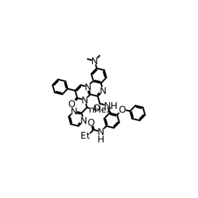 CCCCCCC(c1ncccn1)n1c(/C(=N\c2ccc(N(C)C)cc2C)C(=O)Nc2cc(NC(=O)CC)ccc2Oc2ccccc2)ncc(-c2ccccc2)c1=O